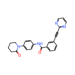 O=C(Nc1ccc(N2CCCCC2=O)cc1)c1cccc(C#Cc2ncccn2)c1